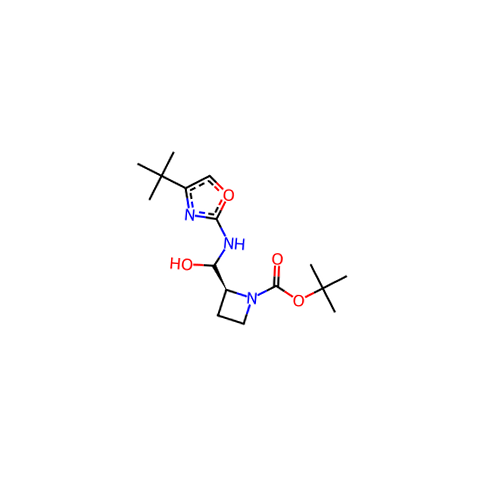 CC(C)(C)OC(=O)N1CC[C@H]1C(O)Nc1nc(C(C)(C)C)co1